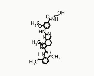 CCc1cccc(CC)c1NC(=O)c1nn(C)c2c1CCc1cnc(Nc3ccc(C(=O)NCCO)cc3OC)nc1-2